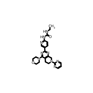 CCNC(=O)Nc1ccc(-c2nc3c(c(N4CCOCC4)n2)CCN(c2ncccn2)C3)cn1